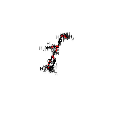 N=C(N)NCCCC[C@@H](N)C(=O)NCCCN(CCCNC(=O)CCC(=O)NCCCN(CCCNC(=O)[C@H](N)CCCCNC(=N)N)CCOc1ccc(CCCCNC(=N)NC(=O)c2nc(Cl)c(N)nc2N)cc1)CCOc1ccc(CCCCNC(=N)NC(=O)c2nc(Cl)c(N)nc2N)cc1